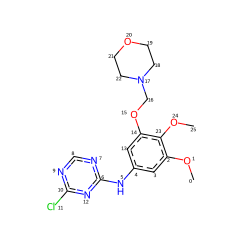 COc1cc(Nc2ncnc(Cl)n2)cc(OCN2CCOCC2)c1OC